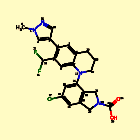 Cn1cc(-c2cc3c(cc2C(F)F)N(c2cc(Cl)cc4c2CN(C(=O)O)C4)CCC3)cn1